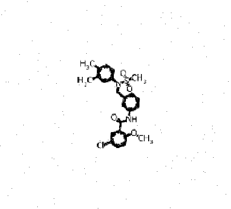 COc1ccc(Cl)cc1C(=O)Nc1cccc(CN(c2ccc(C)c(C)c2)S(C)(=O)=O)c1